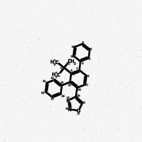 CC(C)(C)c1c(-c2ccccc2)ccc(-c2conn2)c1-c1ccccc1